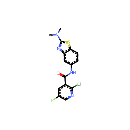 CN(C)c1nc2cc(NC(=O)c3cc(F)cnc3Cl)ccc2s1